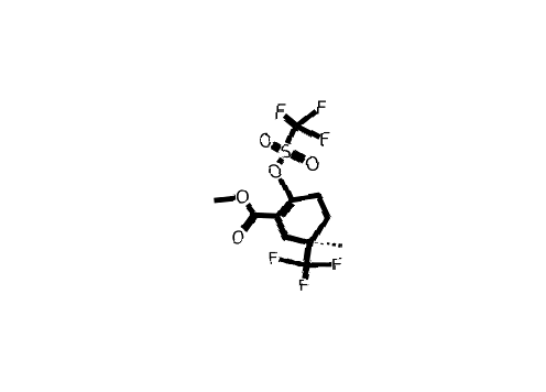 COC(=O)C1=C(OS(=O)(=O)C(F)(F)F)CC[C@@](C)(C(F)(F)F)C1